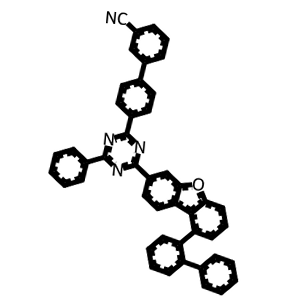 N#Cc1cccc(-c2ccc(-c3nc(-c4ccccc4)nc(-c4ccc5c(c4)oc4cccc(-c6ccccc6-c6ccccc6)c45)n3)cc2)c1